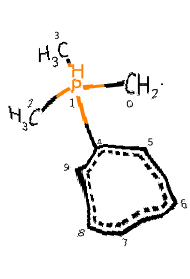 [CH2][PH](C)(C)c1ccccc1